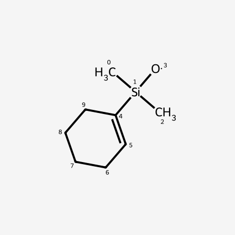 C[Si](C)([O])C1=CCCCC1